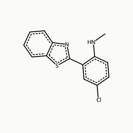 CNc1ccc(Cl)cc1-c1nc2ccccc2s1